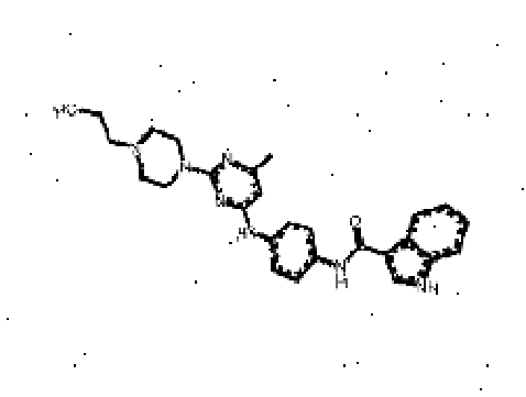 Cc1cc(Nc2ccc(NC(=O)c3c[nH]c4ccccc34)cc2)nc(N2CCN(CCO)CC2)n1